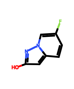 Oc1cc2ccc(F)cn2n1